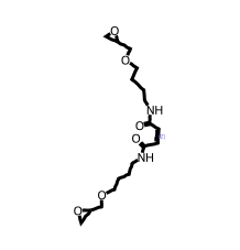 O=C(/C=C\C(=O)NCCCCOCC1CO1)NCCCCOCC1CO1